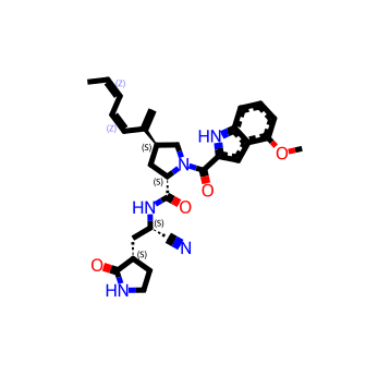 C=C(/C=C\C=C/C)[C@@H]1C[C@@H](C(=O)N[C@H](C#N)C[C@@H]2CCNC2=O)N(C(=O)c2cc3c(OC)cccc3[nH]2)C1